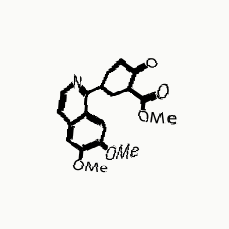 COC(=O)C1CC(c2nccc3cc(OC)c(OC)cc23)CCC1=O